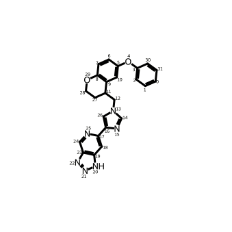 c1ccc(Oc2ccc3c(c2)C(Cn2cnc(-c4cc5[nH]nnc5cn4)c2)CCO3)cc1